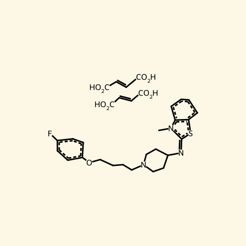 Cn1c(=NC2CCN(CCCCOc3ccc(F)cc3)CC2)sc2ccccc21.O=C(O)C=CC(=O)O.O=C(O)C=CC(=O)O